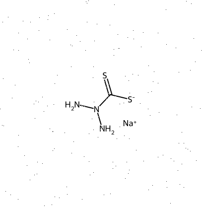 NN(N)C(=S)[S-].[Na+]